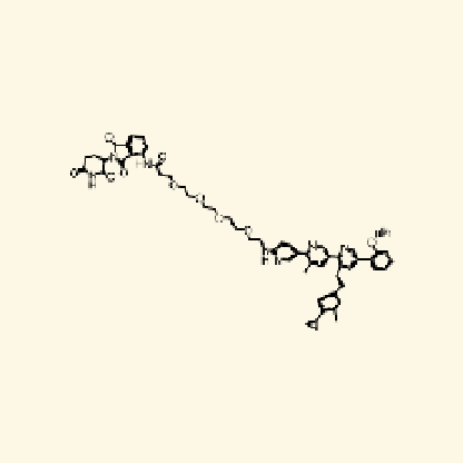 CCCOc1ccccc1-c1cnc(-c2cnc(-c3ccc(NCCOCCOCCOCCOCCC(=O)Nc4cccc5c4C(=O)N(C4CCC(=O)NC4=O)C5=O)nc3)c(C)c2)c(/C=C/c2ccc(C3CC3)c(C)c2)c1